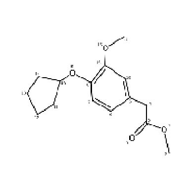 COC(=O)Cc1ccc(OC2CCCC2)c(OC)c1